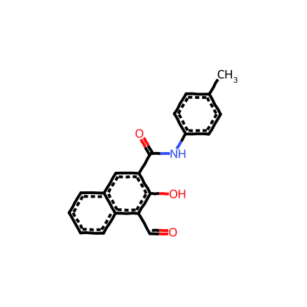 Cc1ccc(NC(=O)c2cc3ccccc3c(C=O)c2O)cc1